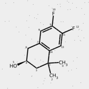 CC1(C)C[C@@H](O)Cc2cc(F)c(F)cc21